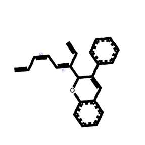 C=C/C=C\C=C(/C=C)C1Oc2ccccc2C=C1c1ccccc1